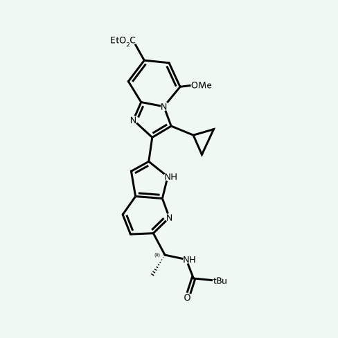 CCOC(=O)c1cc(OC)n2c(C3CC3)c(-c3cc4ccc([C@@H](C)NC(=O)C(C)(C)C)nc4[nH]3)nc2c1